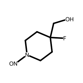 O=NN1CCC(F)(CO)CC1